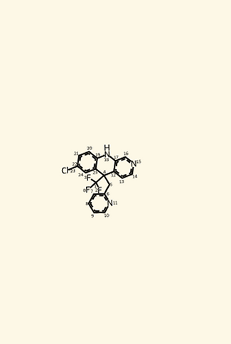 FC(F)(F)C1(Cc2ccccn2)c2ccncc2Nc2ccc(Cl)cc21